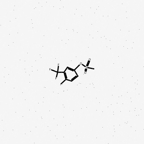 CS(=O)(=O)Oc1ccc(I)c(C(F)(F)F)c1